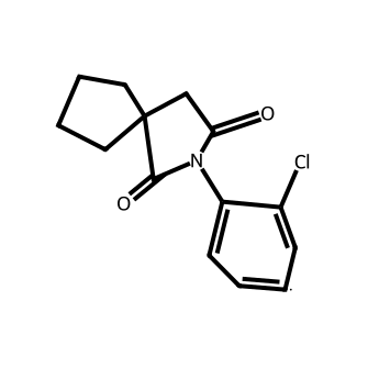 O=C1CC2(CCCC2)C(=O)N1c1cc[c]cc1Cl